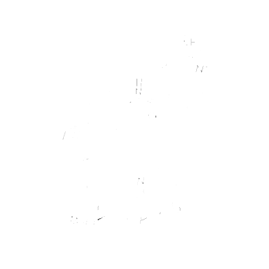 CO[C@@H]1C[C@@H]2COCCN2c2cc(-c3cc(NC(=O)c4ccnc(C(F)(F)F)c4)ccc3C)ccc21